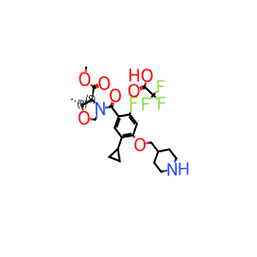 COC(=O)[C@@H]1[C@@H](C)OCN1C(=O)c1cc(C2CC2)c(OCC2CCNCC2)cc1F.O=C(O)C(F)(F)F